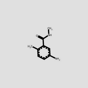 CNC(=O)c1cc(N)ccc1C